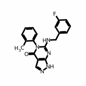 Cc1ccccc1-n1c(NCc2cccc(F)c2)nc2[nH]ncc2c1=O